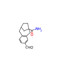 NC(=O)C12[CH]C(CC1)Cc1ccc(C=O)cc1C2